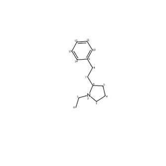 CCN1CCCC1CCc1c[c]ccc1